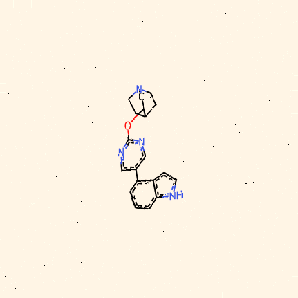 c1cc(-c2cnc(OC3CN4CCC3CC4)nc2)c2cc[nH]c2c1